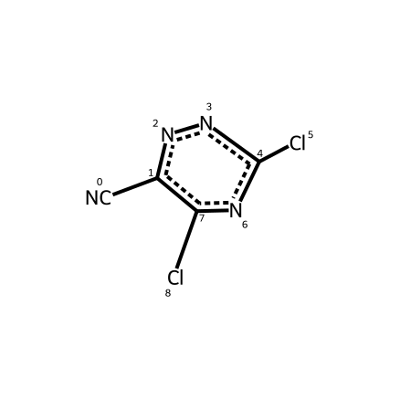 N#Cc1nnc(Cl)nc1Cl